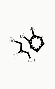 CCc1ccccc1CC.OCC(O)CO